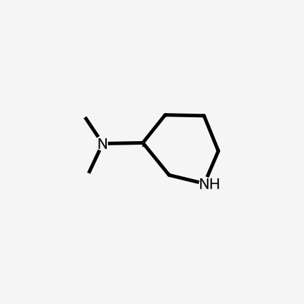 CN(C)[C]1CCCNC1